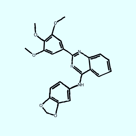 COc1cc(-c2nc(Nc3ccc4c(c3)OCO4)c3ccccc3n2)cc(OC)c1OC